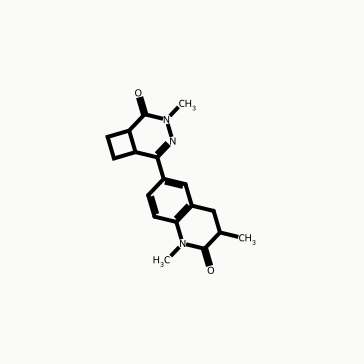 CC1Cc2cc(C3=NN(C)C(=O)C4CCC34)ccc2N(C)C1=O